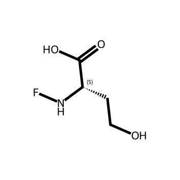 O=C(O)[C@H](CCO)NF